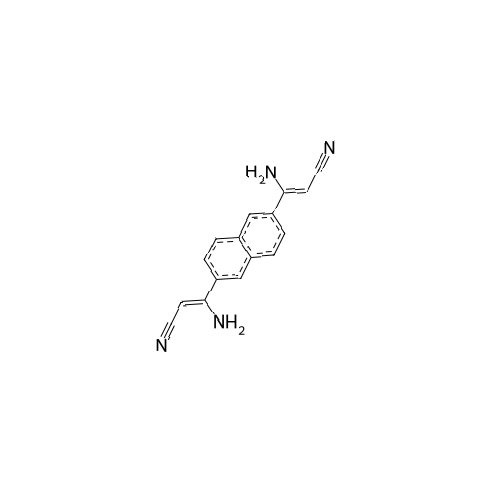 N#CC=C(N)c1ccc2cc(C(N)=CC#N)ccc2c1